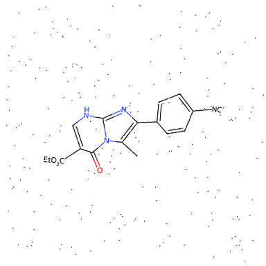 [C-]#[N+]c1ccc(-c2nc3[nH]cc(C(=O)OCC)c(=O)n3c2C)cc1